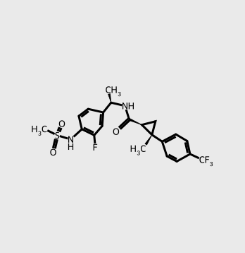 C[C@@H](NC(=O)[C@H]1C[C@]1(C)c1ccc(C(F)(F)F)cc1)c1ccc(NS(C)(=O)=O)c(F)c1